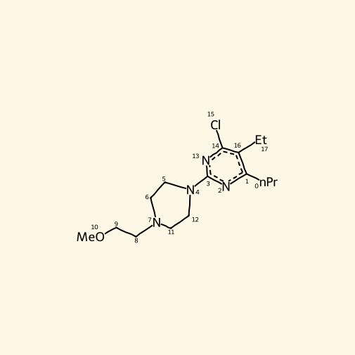 CCCc1nc(N2CCN(CCOC)CC2)nc(Cl)c1CC